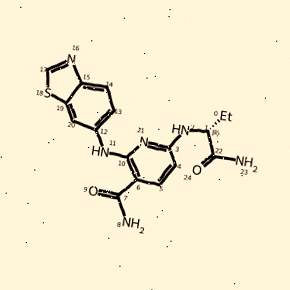 CC[C@@H](Nc1ccc(C(N)=O)c(Nc2ccc3ncsc3c2)n1)C(N)=O